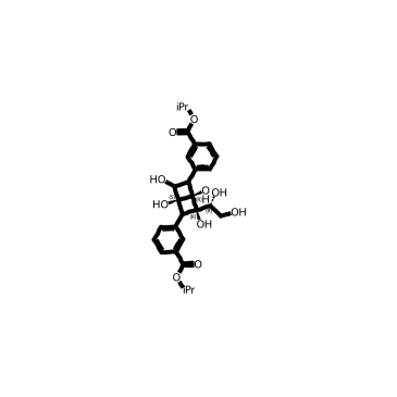 CC(C)OC(=O)c1cccc(C2C(O)[C@@]3(O)C(c4cccc(C(=O)OC(C)C)c4)[C@@](O)([C@H](O)CO)[C@@]23O)c1